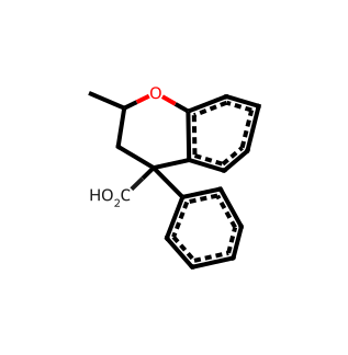 CC1CC(C(=O)O)(c2ccccc2)c2ccccc2O1